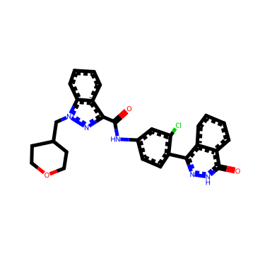 O=C(Nc1ccc(-c2n[nH]c(=O)c3ccccc23)c(Cl)c1)c1nn(CC2CCOCC2)c2ccccc12